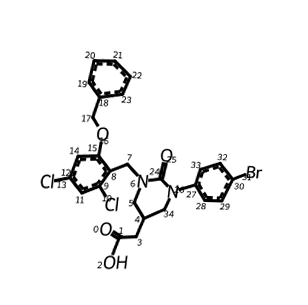 O=C(O)CC1CN(Cc2c(Cl)cc(Cl)cc2OCc2ccccc2)C(=O)N(c2ccc(Br)cc2)C1